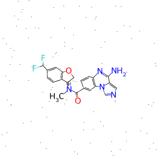 CN(C(=O)c1ccc2nc(N)c3cncn3c2c1)[C@@H]1COc2cc(C(F)F)ccc21